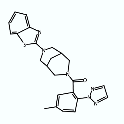 Cc1ccc(-n2nccn2)c(C(=O)N2CC3CC(C2)CN(c2nc4ccccc4s2)C3)c1